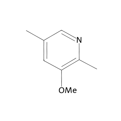 COc1cc(C)cnc1C